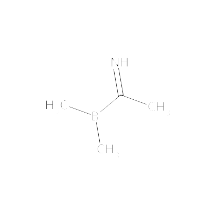 CB(C)C(C)=N